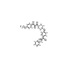 O=C(Nc1ccc(OC(F)(F)F)cc1)N[C@H]1CC[C@H](Oc2ccc(C(=O)NCc3ccccc3)cc2)CC1